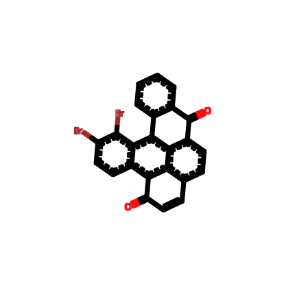 O=C1c2ccccc2-c2c3c(Br)c(Br)ccc3c3c4c(ccc1c24)C=CC3=O